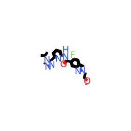 COCCn1cc2cc(F)c(C(=O)Nc3cccc(-c4nncn4C(C)C)n3)cc2n1